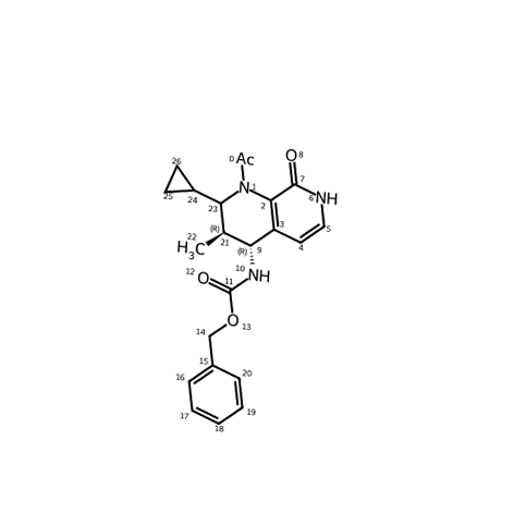 CC(=O)N1c2c(cc[nH]c2=O)[C@H](NC(=O)OCc2ccccc2)[C@@H](C)C1C1CC1